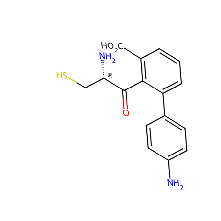 Nc1ccc(-c2cccc(C(=O)O)c2C(=O)[C@@H](N)CS)cc1